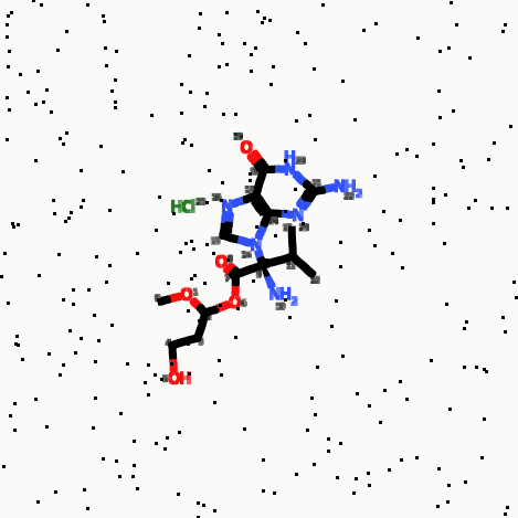 COC(CCO)OC(=O)[C@@](N)(C(C)C)n1cnc2c(=O)[nH]c(N)nc21.Cl